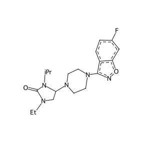 CCN1CC(N2CCN(c3noc4cc(F)ccc34)CC2)N(C(C)C)C1=O